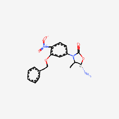 CC1[C@@H](N)OC(=O)N1c1ccc([N+](=O)[O-])c(OCc2ccccc2)c1